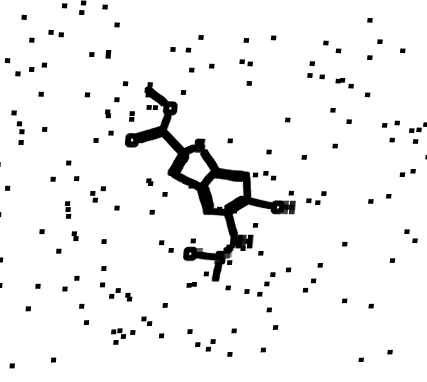 COC(=O)c1cc2cc(N[S+](C)[O-])c(O)cc2s1